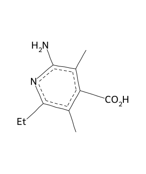 CCc1nc(N)c(C)c(C(=O)O)c1C